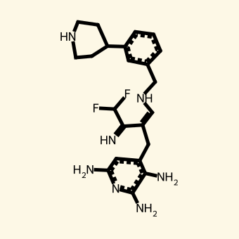 N=C(/C(=C\NCc1cccc(C2CCNCC2)c1)Cc1cc(N)nc(N)c1N)C(F)F